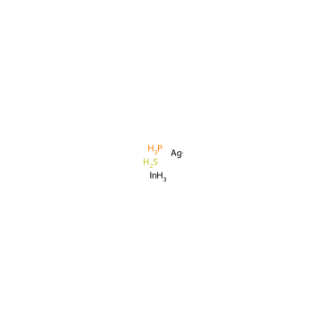 P.S.[Ag].[InH3]